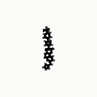 CN(Cc1cccc2cc(CN3CCCC3)ccc12)C(=O)c1ccc(-c2ccc(C(F)(F)F)cc2)cc1